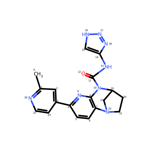 Cc1cc(-c2ccc3c(n2)N(C(=O)Nc2c[nH]nn2)C2CCN3C2)ccn1